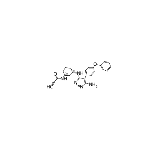 C#CC(=O)N[C@H]1CCC[C@@H](Nc2ncnc(N)c2-c2ccc(Oc3ccccc3)cc2)C1